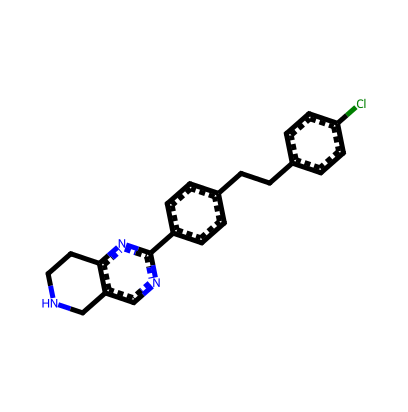 Clc1ccc(CCc2ccc(-c3ncc4c(n3)CCNC4)cc2)cc1